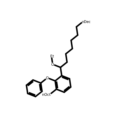 CCCCCCCCCCCCCCCC[C](OCC)c1cccc(CCCCCCCC)c1Oc1ccccc1